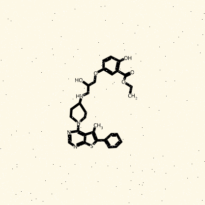 CCOC(=O)c1cc(OCC(O)CNC2CCN(c3ncnc4sc(-c5ccccc5)c(C)c34)CC2)ccc1O